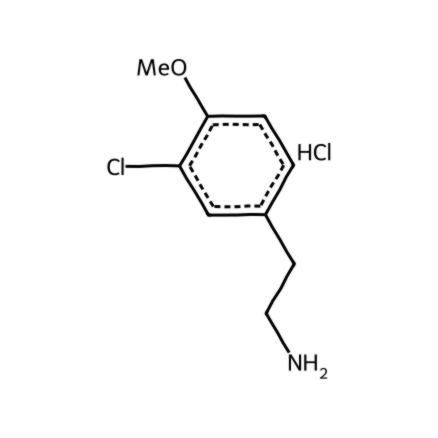 COc1ccc(CCN)cc1Cl.Cl